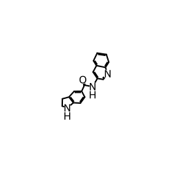 O=C(Nc1cnc2ccccc2c1)c1ccc2c(c1)CCN2